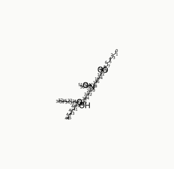 CCCCCCCCCOC(=O)CCCCCCCN(CCCCCCCC(O)OC(CCCCCCCC)CCCCCCCC)CCOCC